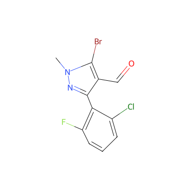 Cn1nc(-c2c(F)cccc2Cl)c(C=O)c1Br